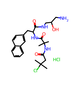 CC(C)(Cl)CC(=O)NC(C)(C)C(=O)NC(Cc1ccc2ccccc2c1)C(=O)NCC(O)CN.Cl